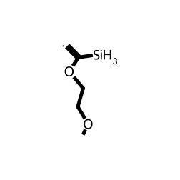 [CH]=C([SiH3])OCCOC